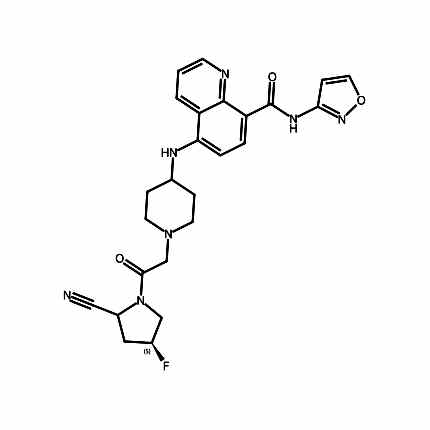 N#CC1C[C@H](F)CN1C(=O)CN1CCC(Nc2ccc(C(=O)Nc3ccon3)c3ncccc23)CC1